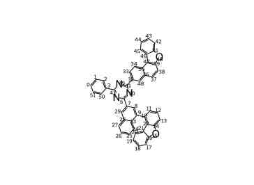 c1ccc(-c2nc(-c3cc(-c4cccc5oc6ccccc6c45)c4ccccc4c3)nc(-c3ccc4c(ccc5oc6ccccc6c54)c3)n2)cc1